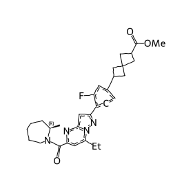 CCc1cc(C(=O)N2CCCCC[C@H]2C)nc2cc(-c3ccc(C4CC5(CC(C(=O)OC)C5)C4)cc3F)nn12